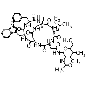 CCC1OC(NC(=O)C[C@@H]2NC(=O)[C@H](CC(C)C)NC(=O)[C@@H]3CNC(=O)CC(NC2=O)C(=O)N[C@@H](Cc2c[nH]c4ccccc24)C(=O)N[C@@H](Cc2ccccc2)C(=O)N3)C(NC(C)=O)C(C)C1C